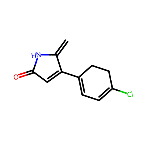 C=C1NC(=O)C=C1C1=CC=C(Cl)CC1